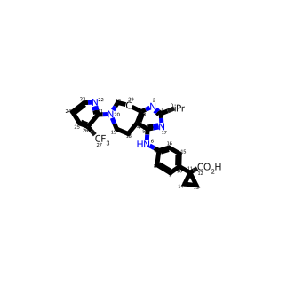 CC(C)c1nc2c(c(Nc3ccc(C4(C(=O)O)CC4)cc3)n1)CCN(c1ncccc1C(F)(F)F)CC2